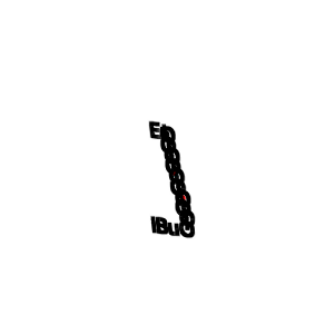 CCOCCOCCOCCOCCOCCOCCOCCOCCOCCOCC(C)C